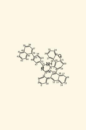 c1ccc(C2=NC(c3c(-c4cccc5ccccc45)ccc4oc5ccccc5c34)NC(c3ccc(-c4cccc5ccccc45)cc3)=N2)cc1